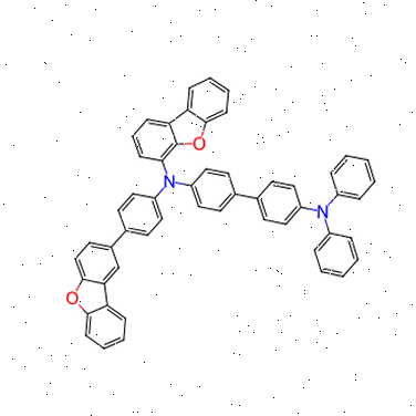 c1ccc(N(c2ccccc2)c2ccc(-c3ccc(N(c4ccc(-c5ccc6oc7ccccc7c6c5)cc4)c4cccc5c4oc4ccccc45)cc3)cc2)cc1